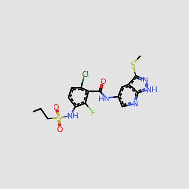 CCCS(=O)(=O)Nc1ccc(Cl)c(C(=O)Nc2cnc3[nH]nc(SC)c3c2)c1F